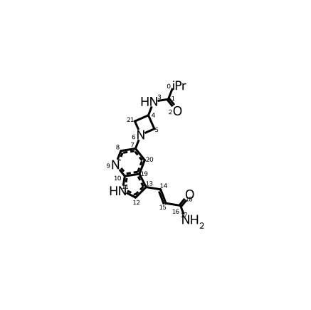 CC(C)C(=O)NC1CN(c2cnc3[nH]cc(C=CC(N)=O)c3c2)C1